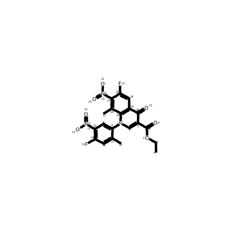 CCOC(=O)c1cn(-c2cc([N+](=O)[O-])c(F)cc2C)c2c(C)c([N+](=O)[O-])c(F)cc2c1=O